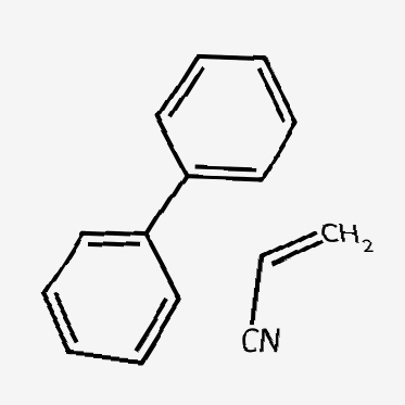 C=CC#N.c1ccc(-c2ccccc2)cc1